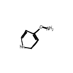 NOC1=CCNC=C1